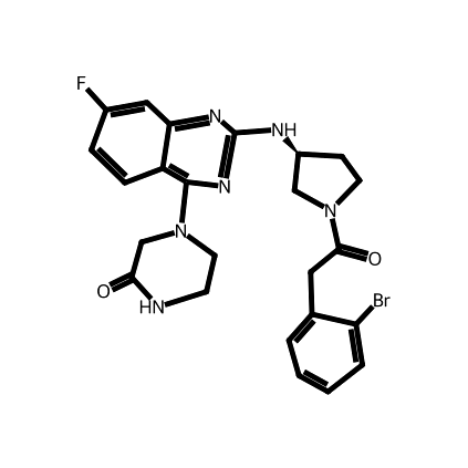 O=C1CN(c2nc(N[C@H]3CCN(C(=O)Cc4ccccc4Br)C3)nc3cc(F)ccc23)CCN1